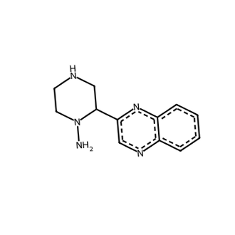 NN1CCNCC1c1cnc2ccccc2n1